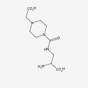 NC(CNC(=O)N1CCN(CC(=O)O)CC1)C(=O)O